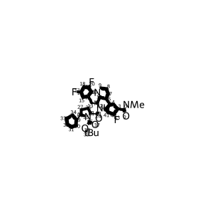 CNC(=O)c1cc(-c2cccnc2[C@H](Cc2cc(F)cc(F)c2)NC(=O)[C@@H]2CC[C@H](c3ccccc3)N2C(=O)OC(C)(C)C)ccc1F